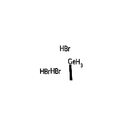 Br.Br.Br.[CH3][GeH3]